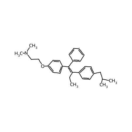 CCC(=C(c1cc[c]cc1)c1ccc(OCCN(C)C)cc1)c1ccc(CC(C)C)cc1